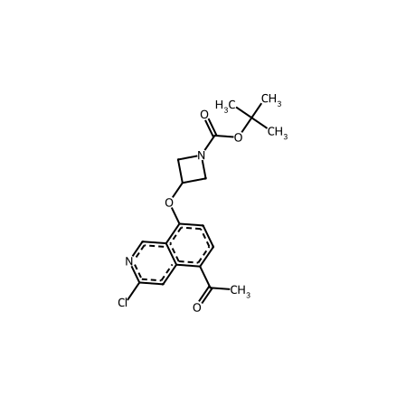 CC(=O)c1ccc(OC2CN(C(=O)OC(C)(C)C)C2)c2cnc(Cl)cc12